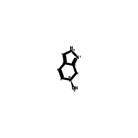 O[C@@H]1C=Cc2c[nH]nc2C1